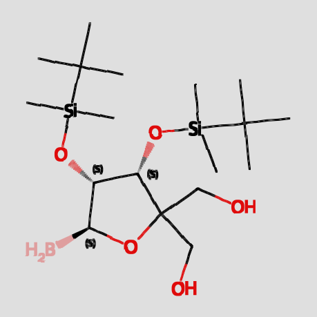 B[C@@H]1OC(CO)(CO)[C@@H](O[Si](C)(C)C(C)(C)C)[C@H]1O[Si](C)(C)C(C)(C)C